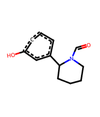 O=CN1CCCCC1c1cccc(O)c1